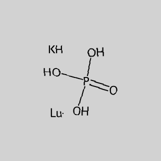 O=P(O)(O)O.[KH].[Lu]